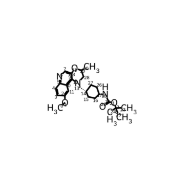 COc1ccc2ncc3c(c2c1)N(C[C@H]1CC[C@H](NC(=O)OC(C)(C)C)CC1)CC(C)O3